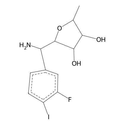 CC1OC(C(N)c2ccc(I)c(F)c2)C(O)C1O